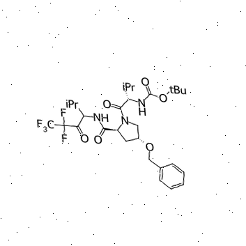 CC(C)C(NC(=O)[C@@H]1C[C@@H](OCc2ccccc2)CN1C(=O)[C@@H](NC(=O)OC(C)(C)C)C(C)C)C(=O)C(F)(F)C(F)(F)F